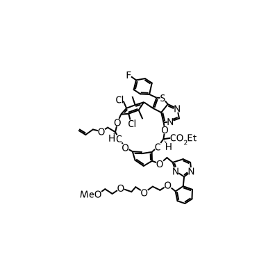 C=CCOC[C@@H]1COc2ccc(OCc3ccnc(-c4ccccc4OCCOCCOCCOC)n3)c(c2)C[C@H](C(=O)OCC)Oc2ncnc3sc(-c4ccc(F)cc4)c(c23)-c2c(C)c(Cl)c(c(Cl)c2C)O1